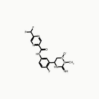 CN1C(=N)NC(c2cc(NC(=O)c3cnc(C(F)F)cn3)ccc2F)C[S+]1[O-]